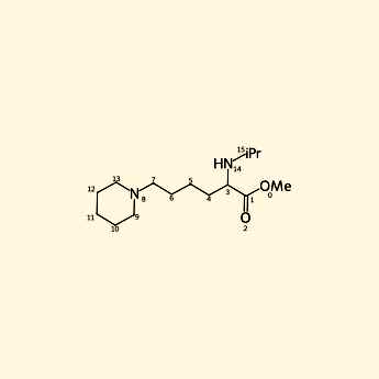 COC(=O)C(CCCCN1CCCCC1)NC(C)C